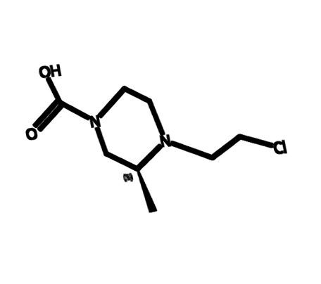 C[C@H]1CN(C(=O)O)CCN1CCCl